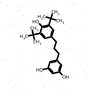 CC(C)(C)c1cc(CCCc2cc(O)cc(O)c2)cc(C(C)(C)C)c1O